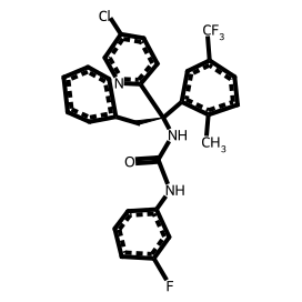 Cc1ccc(C(F)(F)F)cc1[C@](Cc1ccccc1)(NC(=O)Nc1cccc(F)c1)c1ccc(Cl)cn1